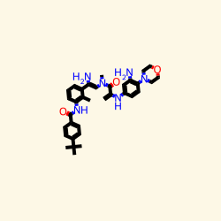 C=C(Nc1ccc(N2CCOCC2)c(N)c1)C(=O)N(C)/C=C(\N)c1cccc(NC(=O)c2ccc(C(C)(C)C)cc2)c1C